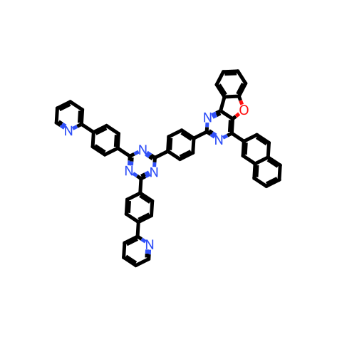 c1ccc(-c2ccc(-c3nc(-c4ccc(-c5ccccn5)cc4)nc(-c4ccc(-c5nc(-c6ccc7ccccc7c6)c6oc7ccccc7c6n5)cc4)n3)cc2)nc1